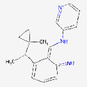 CC(C1=CC=CC(=N)/C1=C\Nc1cccnc1)C1(C)CC1